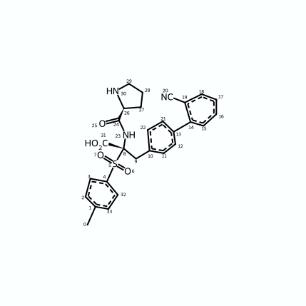 Cc1ccc(S(=O)(=O)[C@@](Cc2ccc(-c3ccccc3C#N)cc2)(NC(=O)[C@@H]2CCCN2)C(=O)O)cc1